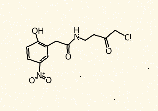 O=C(CCl)CCNC(=O)Cc1cc([N+](=O)[O-])ccc1O